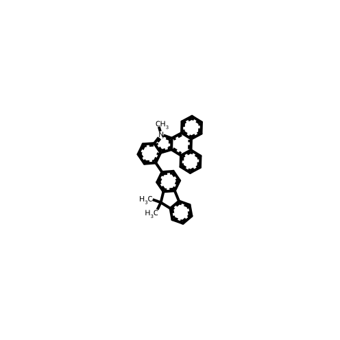 Cn1c2cccc(-c3ccc4c(c3)C(C)(C)c3ccccc3-4)c2c2c3ccccc3c3ccccc3c21